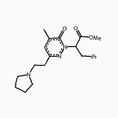 COC(=O)C(CC(C)C)n1nc(CCN2CCCC2)cc(C)c1=O